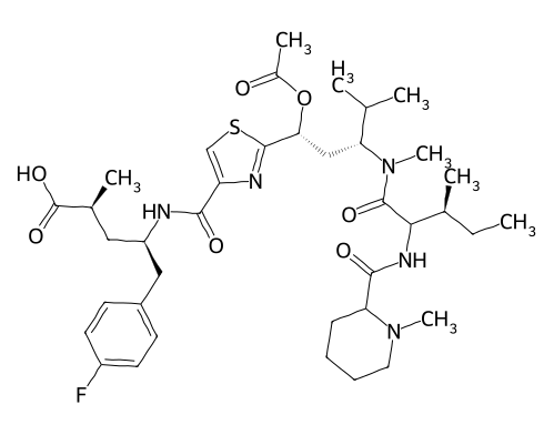 CC[C@H](C)C(NC(=O)C1CCCCN1C)C(=O)N(C)[C@H](C[C@@H](OC(C)=O)c1nc(C(=O)N[C@@H](Cc2ccc(F)cc2)C[C@H](C)C(=O)O)cs1)C(C)C